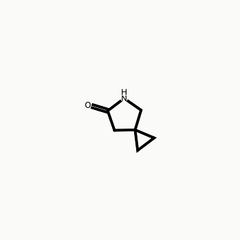 O=C1CC2(CC2)CN1